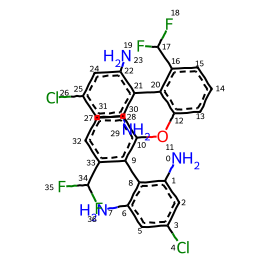 Nc1cc(Cl)cc(N)c1-c1c(Oc2cccc(C(F)F)c2-c2c(N)cc(Cl)cc2N)cccc1C(F)F